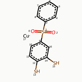 O=S(=O)(c1ccccc1)c1ccc(S)c(S)c1.[Cu]